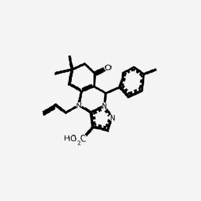 C=CCN1C2=C(C(=O)CC(C)(C)C2)C(c2ccc(C)cc2)n2ncc(C(=O)O)c21